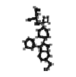 CCOc1ccn2c(-c3ccccc3)c(-c3ccc(C4(NC(=O)OC(C)(C)C)CCC4)cc3)nc2c1